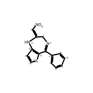 O=[N+]([O-])C=C1CN=C(c2ccccc2)c2sccc2N1